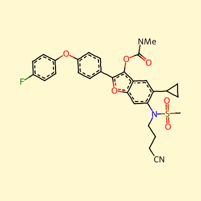 CNC(=O)Oc1c(-c2ccc(Oc3ccc(F)cc3)cc2)oc2cc(N(CCCC#N)S(C)(=O)=O)c(C3CC3)cc12